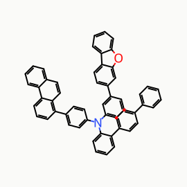 c1ccc(-c2ccc(-c3ccccc3N(c3ccc(-c4cccc5c4ccc4ccccc45)cc3)c3cccc(-c4ccc5c(c4)oc4ccccc45)c3)cc2)cc1